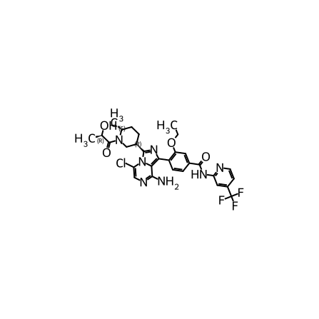 CCOc1cc(C(=O)Nc2cc(C(F)(F)F)ccn2)ccc1-c1nc([C@@H]2CC[C@H](C)N(C(=O)[C@@H](C)O)C2)n2c(Cl)cnc(N)c12